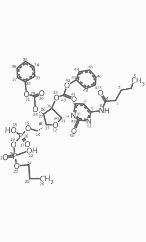 CCCCC(=O)Nc1ccn([C@@H]2O[C@H](COP(=O)(O)OP(=O)(O)OCCC)[C@H](OC(=O)Oc3ccccc3)C2OC(=O)Oc2ccccc2)c(=O)n1